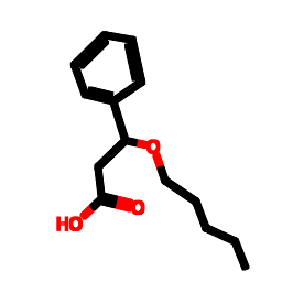 CCCCCOC(CC(=O)O)c1ccccc1